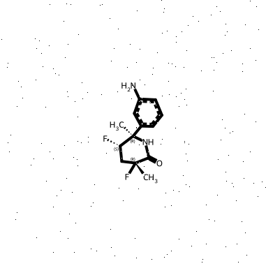 C[C@@]1(F)C[C@H](F)[C@@](C)(c2cccc(N)c2)NC1=O